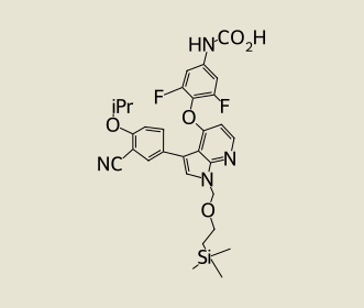 CC(C)Oc1ccc(-c2cn(COCC[Si](C)(C)C)c3nccc(Oc4c(F)cc(NC(=O)O)cc4F)c23)cc1C#N